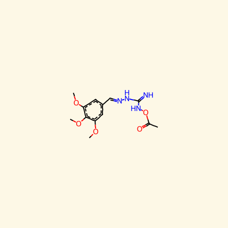 COc1cc(C=NNC(=N)NOC(C)=O)cc(OC)c1OC